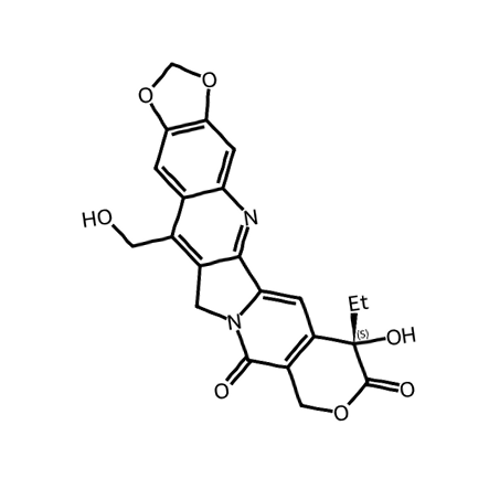 CC[C@@]1(O)C(=O)OCc2c1cc1n(c2=O)Cc2c-1nc1cc3c(cc1c2CO)OCO3